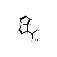 CC(C(=O)O)C1C=Cn2cccc21